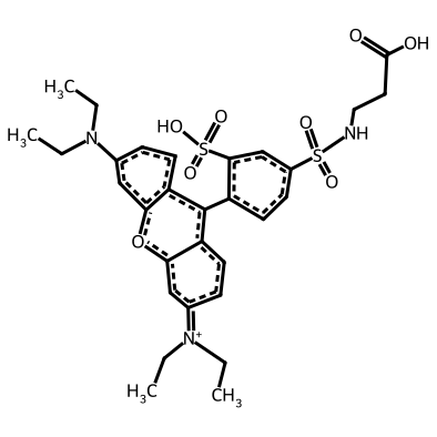 CCN(CC)c1ccc2c(-c3ccc(S(=O)(=O)NCCC(=O)O)cc3S(=O)(=O)O)c3ccc(=[N+](CC)CC)cc-3oc2c1